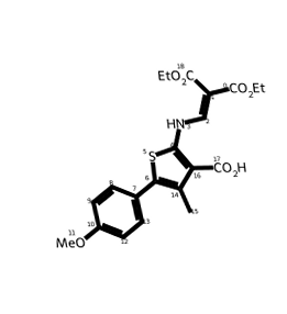 CCOC(=O)C(=CNc1sc(-c2ccc(OC)cc2)c(C)c1C(=O)O)C(=O)OCC